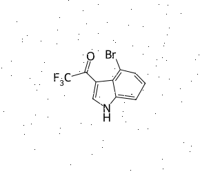 O=C(c1c[nH]c2cccc(Br)c12)C(F)(F)F